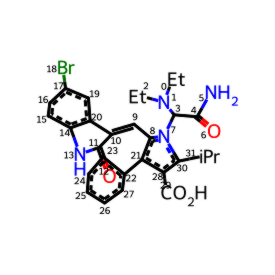 CCN(CC)C(C(N)=O)n1c(C=C2C(=O)Nc3ccc(Br)cc32)c(-c2ccccc2)c(C(=O)O)c1C(C)C